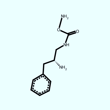 NOC(=O)NC[C@H](N)Cc1ccccc1